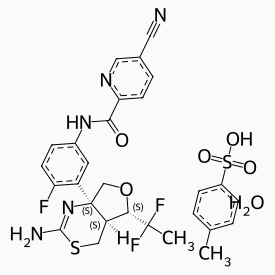 CC(F)(F)[C@H]1OC[C@]2(c3cc(NC(=O)c4ccc(C#N)cn4)ccc3F)N=C(N)SC[C@H]12.Cc1ccc(S(=O)(=O)O)cc1.O